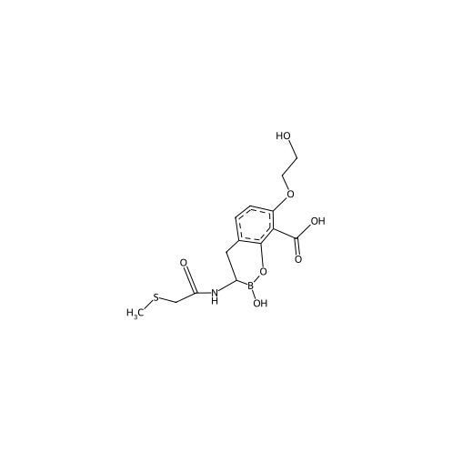 CSCC(=O)NC1Cc2ccc(OCCO)c(C(=O)O)c2OB1O